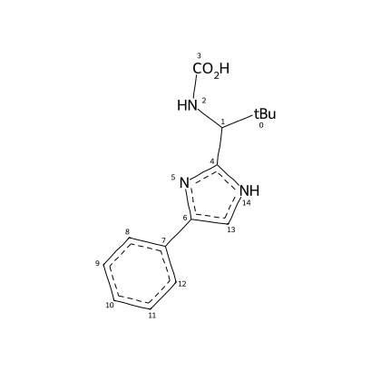 CC(C)(C)C(NC(=O)O)c1nc(-c2ccccc2)c[nH]1